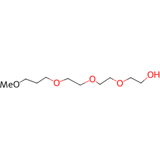 COCCCOCCOCCOCCO